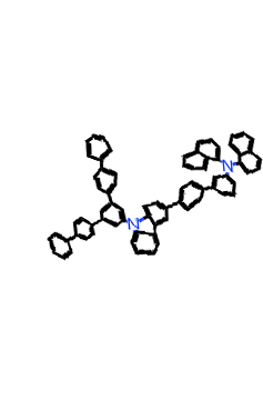 c1ccc(-c2ccc(-c3cc(-c4ccc(-c5ccccc5)cc4)cc(-n4c5ccccc5c5cc(-c6ccc(-c7cccc(N(c8cccc9ccccc89)c8cccc9ccccc89)c7)cc6)ccc54)c3)cc2)cc1